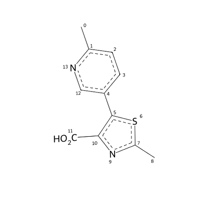 Cc1ccc(-c2sc(C)nc2C(=O)O)cn1